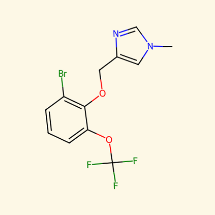 Cn1cnc(COc2c(Br)cccc2OC(F)(F)F)c1